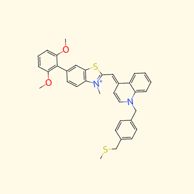 COc1cccc(OC)c1-c1ccc2c(c1)sc(C=C1C=CN(Cc3ccc(CSC)cc3)c3ccccc31)[n+]2C